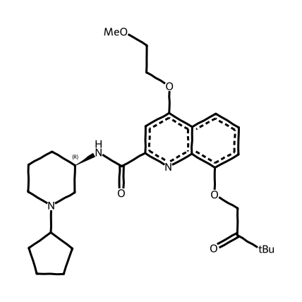 COCCOc1cc(C(=O)N[C@@H]2CCCN(C3CCCC3)C2)nc2c(OCC(=O)C(C)(C)C)cccc12